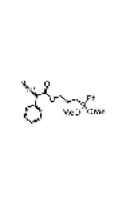 CC[Si](CCCOC(=O)C(=[N+]=[N-])c1ccccc1)(OC)OC